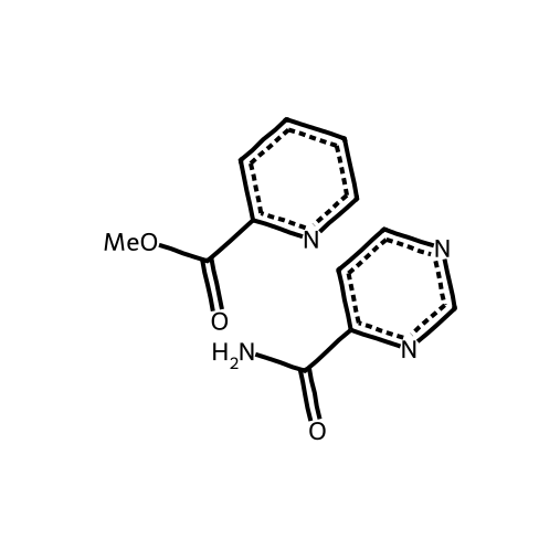 COC(=O)c1ccccn1.NC(=O)c1ccncn1